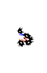 CC1(C)c2cccc(Nc3ccccc3)c2Oc2c(Pc3ccccc3)cccc21